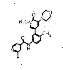 Cc1ccc(NC(=O)c2ccnc(F)c2)cc1-c1cc(N2CCOCC2)c(=O)n(C)c1